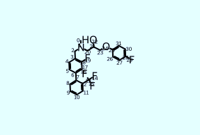 CN(Cc1ccc(-c2ccccc2C(F)(F)F)cc1F)CC(O)COc1ccc(F)cc1